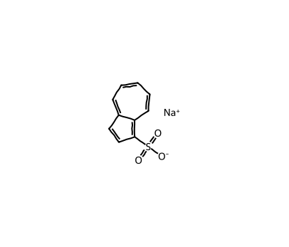 O=S(=O)([O-])c1ccc2cccccc1-2.[Na+]